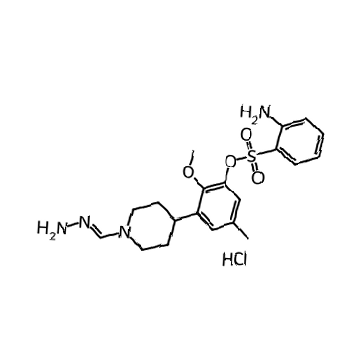 COc1c(OS(=O)(=O)c2ccccc2N)cc(C)cc1C1CCN(C=NN)CC1.Cl